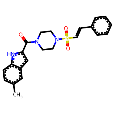 Cc1ccc2[nH]c(C(=O)N3CCN(S(=O)(=O)C=Cc4ccccc4)CC3)cc2c1